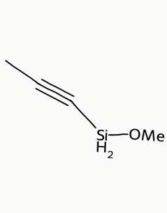 CC#C[SiH2]OC